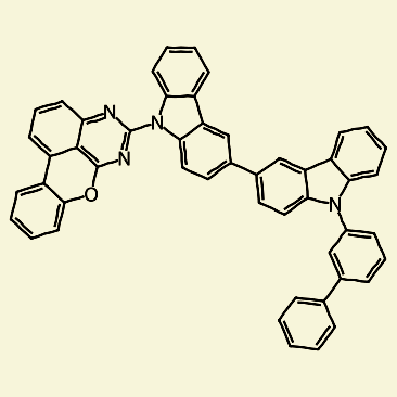 c1ccc(-c2cccc(-n3c4ccccc4c4cc(-c5ccc6c(c5)c5ccccc5n6-c5nc6c7c(cccc7n5)-c5ccccc5O6)ccc43)c2)cc1